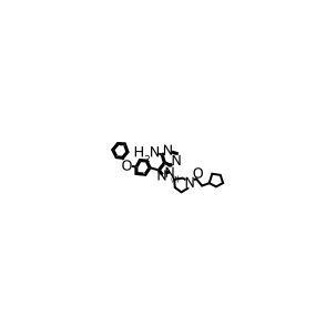 Nc1ncnc2c1c(-c1ccc(Oc3ccccc3)cc1)nn2[C@@H]1CCCN(C(=O)CC2CCCC2)C1